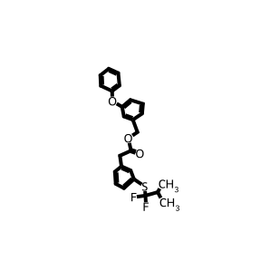 CC(C)C(F)(F)Sc1cccc(CC(=O)OCc2cccc(Oc3ccccc3)c2)c1